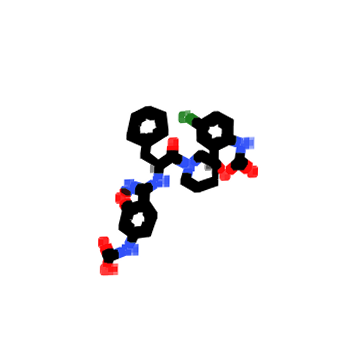 O=C(O)Nc1ccc2c(N[C@@H](Cc3ccccc3)C(=O)N3CCC[C@@]4(C3)OC(=O)Nc3ccc(Cl)cc34)noc2c1